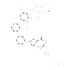 COc1nc(-c2cccc(-c3cccc(-c4cc5c(=O)n(C)c(CNCCO)nn5c4)c3Cl)c2Cl)cc(Cl)c1CNC[C@H]1CCC(=O)N1